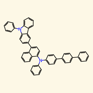 c1ccc(-c2ccc(-c3ccc(N(c4ccccc4)c4ccc(-c5ccc6c(c5)c5ccccc5n6-c5ccccc5)c5ccccc45)cc3)cc2)cc1